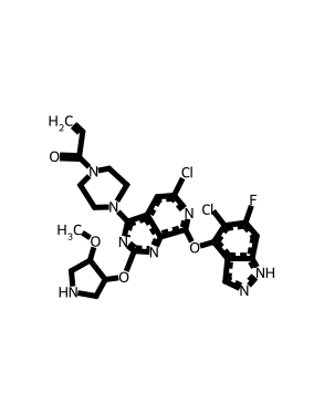 C=CC(=O)N1CCN(c2nc(OC3CNCC3OC)nc3c(Oc4c(Cl)c(F)cc5[nH]ncc45)nc(Cl)cc23)CC1